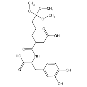 CO[Si](CCCC(CC(=O)O)C(=O)NC(Cc1ccc(O)c(O)c1)C(=O)O)(OC)OC